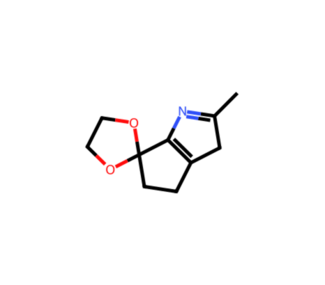 CC1=NC2=C(CCC23OCCO3)C1